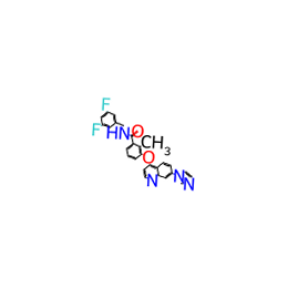 Cc1c(Oc2ccnc3cc(-n4ccnc4)ccc23)cccc1C(=O)NCc1cc(F)cc(F)c1